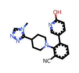 Cn1cnnc1C1CCN(c2c(C#N)cccc2-c2ccc(O)nc2)CC1